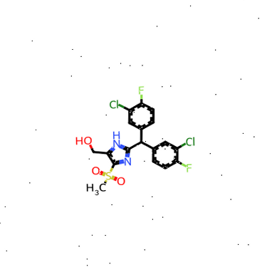 CS(=O)(=O)c1nc(C(c2ccc(F)c(Cl)c2)c2ccc(F)c(Cl)c2)[nH]c1CO